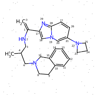 C=C(NCC(C)CN1CCc2ccccc2C1)c1cn2cc(N3CCC3)ccc2n1